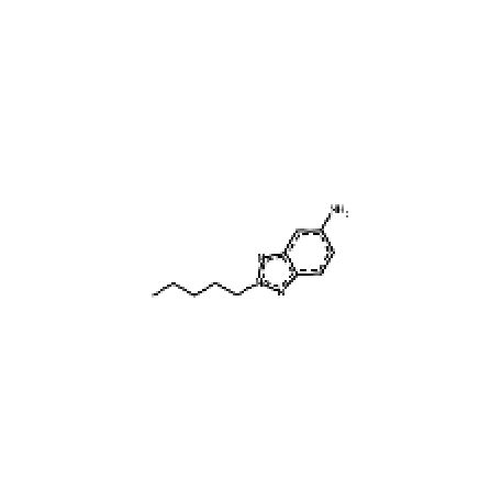 CCCCCn1nc2ccc(N)cc2n1